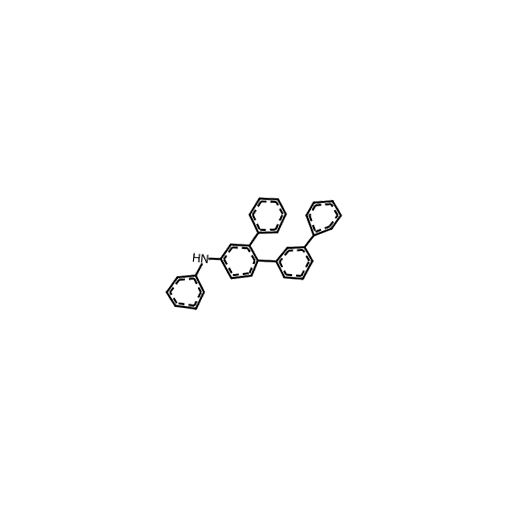 c1ccc(Nc2ccc(-c3cccc(-c4ccccc4)c3)c(-c3ccccc3)c2)cc1